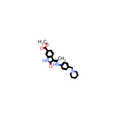 COC(=O)c1ccc2c(c1)NC(=O)/C2=C(/C)Nc1ccc(CN2CCCCC2)cc1